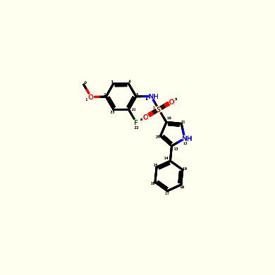 COc1ccc(NS(=O)(=O)c2c[nH]c(-c3ccccc3)c2)c(F)c1